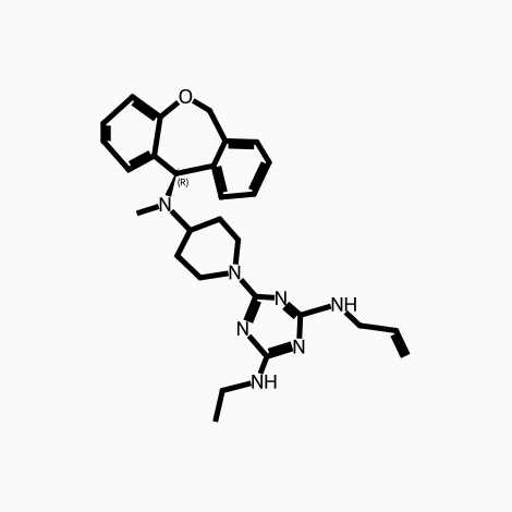 C=CCNc1nc(NCC)nc(N2CCC(N(C)[C@@H]3c4ccccc4COc4ccccc43)CC2)n1